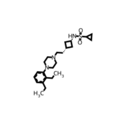 CCc1cccc(N2CCN(CC[C@H]3C[C@@H](NS(=O)(=O)C4CC4)C3)CC2)c1CC